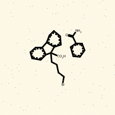 NC(=O)c1ccccc1.O=C(O)C1(CCCCBr)c2ccccc2-c2ccccc21